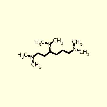 CN(C)CCCC(CCN(C)C)N(C)C